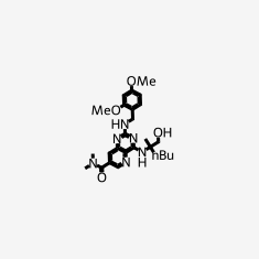 CCCCC(C)(CO)Nc1nc(NCc2ccc(OC)cc2OC)nc2cc(C(=O)N(C)C)cnc12